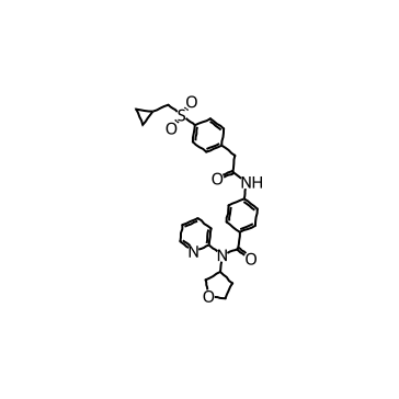 O=C(Cc1ccc(S(=O)(=O)CC2CC2)cc1)Nc1ccc(C(=O)N(c2ccccn2)C2CCOC2)cc1